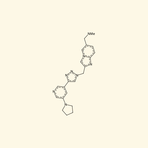 CNCc1ccc2nc(Cn3cc(-c4cncc(N5CCCC5)c4)nn3)cn2c1